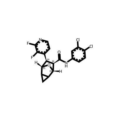 O=C(Nc1ccc(Cl)c(Cl)c1)[C@@H]1[C@H](c2ccnc(F)c2F)[C@@H]2O[C@H]1C1CC12